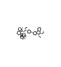 C=C/C(=C\c1c(C)oc2cccc(B3OC(C)(C)C(C)(C)O3)c12)c1ccc(-c2ccc3c(C=C)c(/C=C\C)c4ccccc4c3c2)cc1